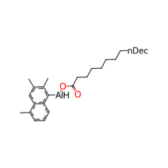 CCCCCCCCCCCCCCCCCC(=O)[O][AlH][c]1c(C)c(C)cc2c(C)cccc12